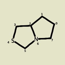 C1CC2CSCN2C1